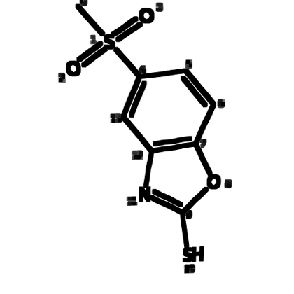 CS(=O)(=O)c1ccc2oc(S)nc2c1